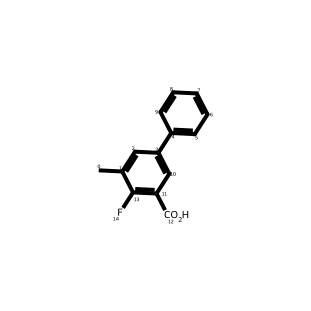 Cc1cc(-c2ccccc2)cc(C(=O)O)c1F